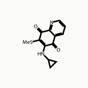 CSC1=C(NC2CC2)C(=O)c2cccnc2C1=O